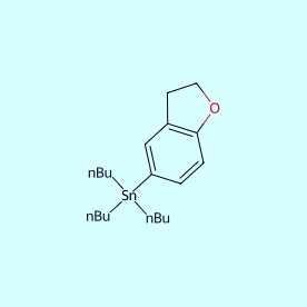 CCC[CH2][Sn]([CH2]CCC)([CH2]CCC)[c]1ccc2c(c1)CCO2